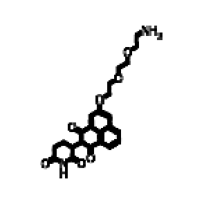 NCCOCCOCCOc1cc2c3c(cccc3c1)C(=O)C(C1CCC(=O)NC1=O)C2=O